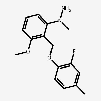 COc1cccc(N(C)N)c1COc1ccc(C)cc1F